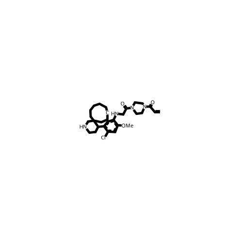 C=CC(=O)N1CCN(C(=O)CNc2cc(C3CCNCC34CCCCCCCC4)c(Cl)cc2OC)CC1